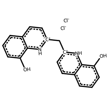 Oc1cccc2cc[c+](C[c+]3ccc4cccc(O)c4[nH]3)[nH]c12.[Cl-].[Cl-]